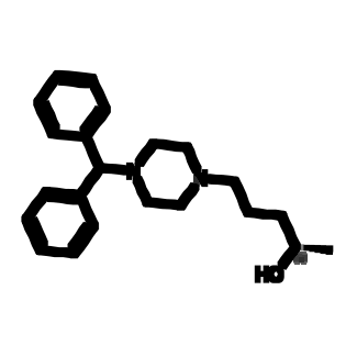 C[C@H](O)CCCN1CCN(C(c2ccccc2)c2ccccc2)CC1